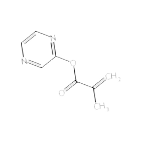 C=C(C)C(=O)Oc1cnccn1